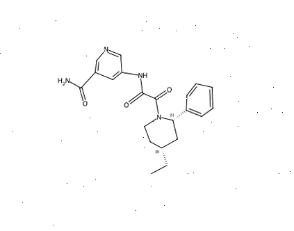 CC[C@@H]1CCN(C(=O)C(=O)Nc2cncc(C(N)=O)c2)[C@H](c2ccccc2)C1